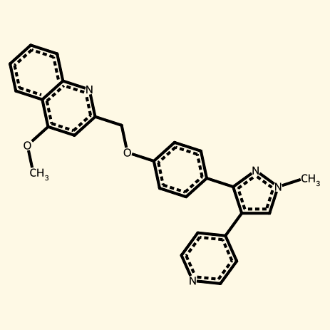 COc1cc(COc2ccc(-c3nn(C)cc3-c3ccncc3)cc2)nc2ccccc12